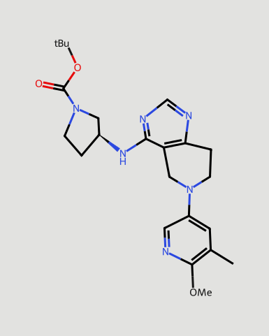 COc1ncc(N2CCc3ncnc(N[C@H]4CCN(C(=O)OC(C)(C)C)C4)c3C2)cc1C